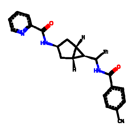 CCC(NC(=O)c1ccc(C#N)cc1)[C@H]1[C@@H]2C[C@@H](NC(=O)c3ccccn3)C[C@@H]21